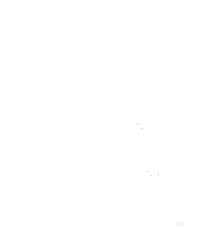 OCCNC1CCCc2c1[nH]c1c(Cl)cc(-c3ccccc3)cc21